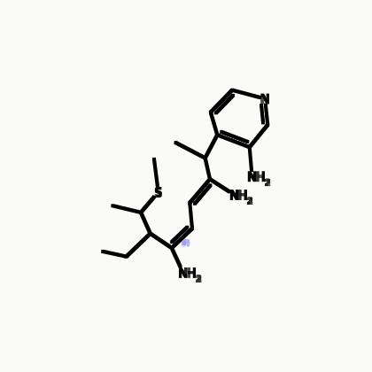 CCC(/C(N)=C\C=C(N)C(C)c1ccncc1N)C(C)SC